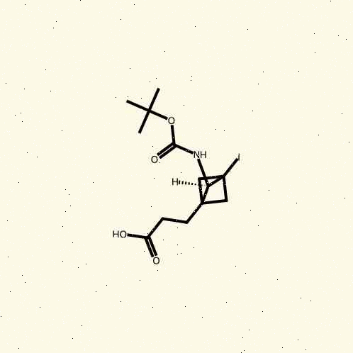 CC(C)(C)OC(=O)N[C@H]1C2(I)CC1(CCC(=O)O)C2